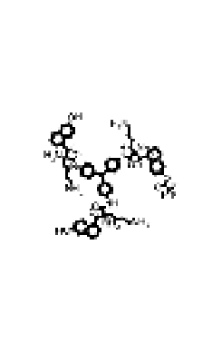 NCCCC[C@](N)(C(=O)Nc1ccc(C(c2ccc(NC(=O)[C@@](N)(CCCCN)C(=O)c3cccc4cc(O)ccc34)cc2)c2ccc(NC(=O)[C@@](N)(CCCCN)C(=O)c3cccc4cc(OC(=O)C(F)(F)F)ccc34)cc2)cc1)C(=O)c1cccc2cc(O)ccc12